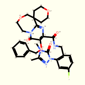 Cc1nn(-c2cc(F)ccc2CNC(=O)c2nc3n(c(=O)c2OCc2ccccc2)CCOCC32CCOCC2)c(=O)n1C